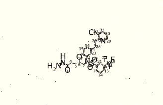 NNC(=O)CC[C@H]1CN(S(=O)(=O)c2cccc(C(F)(F)F)c2)c2cc(/C=C/c3ncccc3Cl)ccc2O1